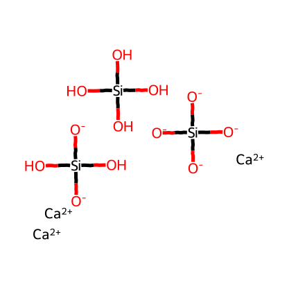 O[Si](O)(O)O.[Ca+2].[Ca+2].[Ca+2].[O-][Si]([O-])(O)O.[O-][Si]([O-])([O-])[O-]